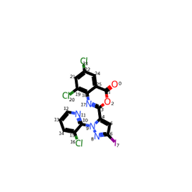 O=c1oc(-c2cc(I)nn2-c2ncccc2Cl)nc2c(Cl)cc(Cl)cc12